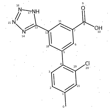 Cc1ccc(-c2cc(C(=O)O)cc(-c3nnn[nH]3)c2)c(Cl)c1